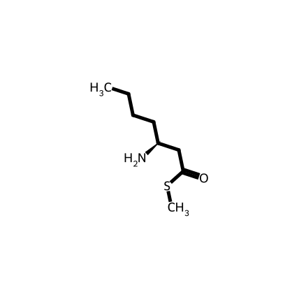 CCCC[C@H](N)CC(=O)SC